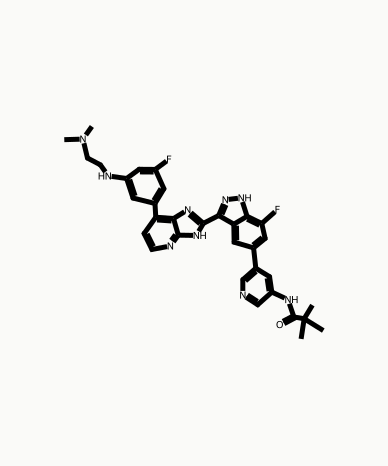 CN(C)CCNc1cc(F)cc(-c2ccnc3[nH]c(-c4n[nH]c5c(F)cc(-c6cncc(NC(=O)C(C)(C)C)c6)cc45)nc23)c1